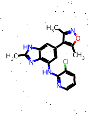 Cc1nc2c(Nc3ncccc3Cl)cc(-c3c(C)noc3C)cc2[nH]1